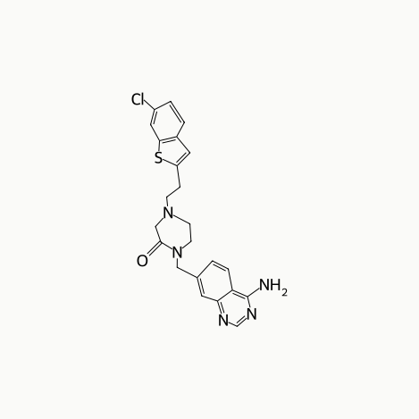 Nc1ncnc2cc(CN3CCN(CCc4cc5ccc(Cl)cc5s4)CC3=O)ccc12